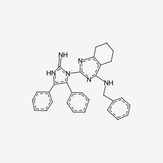 N=c1[nH]c(-c2ccccc2)c(-c2ccccc2)n1-c1nc2c(c(NCc3ccccc3)n1)CCCC2